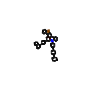 c1ccc(-c2ccc(-c3ccc(N(c4cccc(-c5ccc(-c6cccc7ccccc67)cc5)c4)c4ccccc4-c4ccc5c(c4)sc4ccccc45)cc3)cc2)cc1